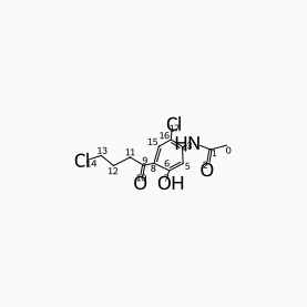 CC(=O)Nc1cc(O)c(C(=O)CCCCl)cc1Cl